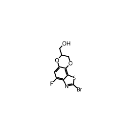 OCC1COc2c(cc(F)c3nc(Br)sc23)O1